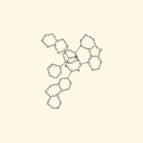 c1ccc(-c2ccc(-c3cccc4oc5cccc(-c6nc(-c7ccc8ccccc8c7)nc(-c7ccc8c(ccc9ccccc98)c7)n6)c5c34)cc2)cc1